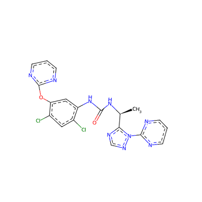 C[C@H](NC(=O)Nc1cc(Oc2ncccn2)c(Cl)cc1Cl)c1ncnn1-c1ncccn1